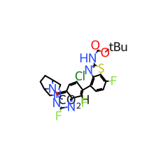 CC(C)(C)OC(=O)Nc1nc2c(-c3c(Cl)cc4c(N5C6CCC5CN(C(=O)O)C6)nc(F)nc4c3F)ccc(F)c2s1